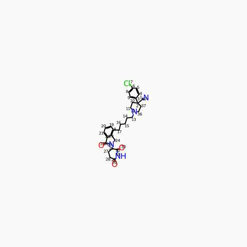 N#CC1(c2ccc(Cl)cc2)CCN(CCCCCc2cccc3c2CN(C2CCC(=O)NC2=O)C3=O)CC1